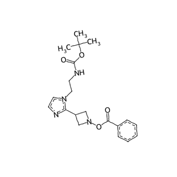 CC(C)(C)OC(=O)NCCn1ccnc1C1CN(OC(=O)c2ccccc2)C1